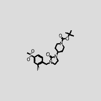 CC(C)(C)OC(=O)N1CCC(N2CCN(Cc3ccc(S(C)(=O)=O)cc3F)C2=O)CC1